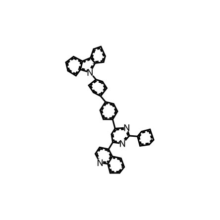 c1ccc(-c2nc(-c3ccc(-c4ccc(-n5c6ccccc6c6ccccc65)cc4)cc3)cc(-c3ccnc4ccccc34)n2)cc1